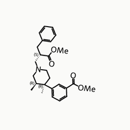 COC(=O)c1cccc([C@]2(C)CCN(C[C@H](Cc3ccccc3)C(=O)OC)C[C@@H]2C)c1